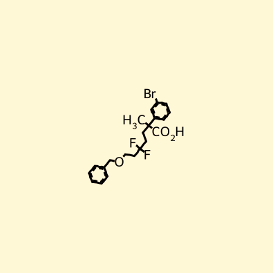 CC(CCC(F)(F)CCOCc1ccccc1)(C(=O)O)c1cccc(Br)c1